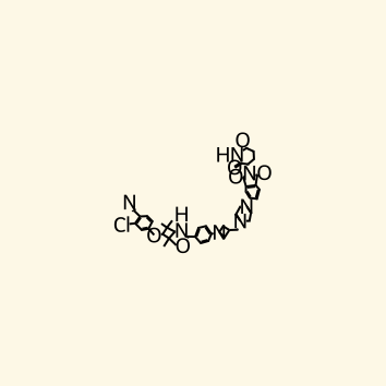 CC1(C)C(NC(=O)c2ccc(N3CC(CN4CCN(c5ccc6c(c5)C(=O)N(C5CCC(=O)NC5=O)C6=O)CC4)C3)cc2)C(C)(C)C1Oc1ccc(C#N)c(Cl)c1